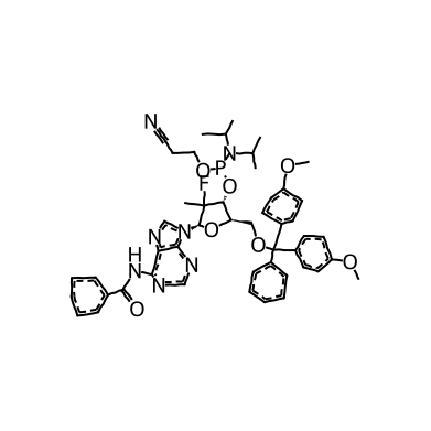 COc1ccc(C(OC[C@H]2O[C@@H](n3cnc4c(NC(=O)c5ccccc5)ncnc43)C(C)(F)[C@@H]2OP(OCCC#N)N(C(C)C)C(C)C)(c2ccccc2)c2ccc(OC)cc2)cc1